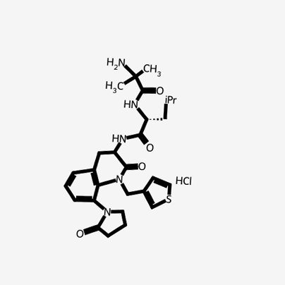 CC(C)C[C@@H](NC(=O)C(C)(C)N)C(=O)NC1Cc2cccc(N3CCCC3=O)c2N(Cc2ccsc2)C1=O.Cl